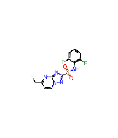 O=S(=O)(Nc1c(F)cccc1F)c1nc2nc(CF)ccn2n1